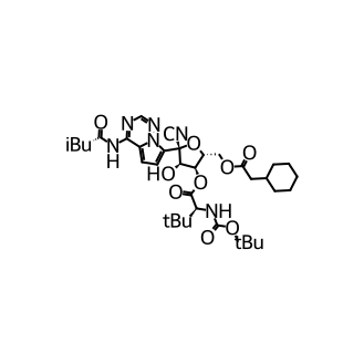 CC[C@@H](C)C(=O)Nc1ncnn2c([C@]3(C#N)O[C@H](COC(=O)CC4CCCCC4)[C@@H](OC(=O)[C@@H](NC(=O)OC(C)(C)C)C(C)(C)C)[C@H]3O)ccc12